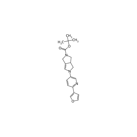 CC(C)(C)OC(=O)N1CC2=CN(c3ccc(-c4ccoc4)nc3)CC2C1